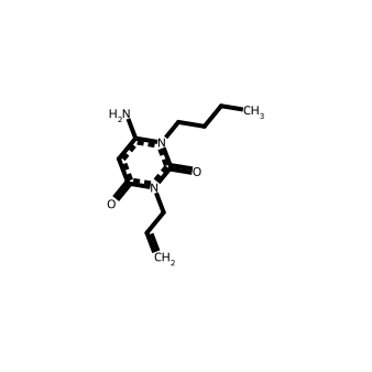 C=CCn1c(=O)cc(N)n(CCCC)c1=O